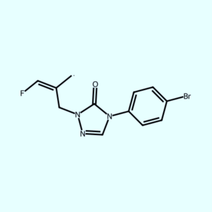 [CH2]/C(=C/F)Cn1ncn(-c2ccc(Br)cc2)c1=O